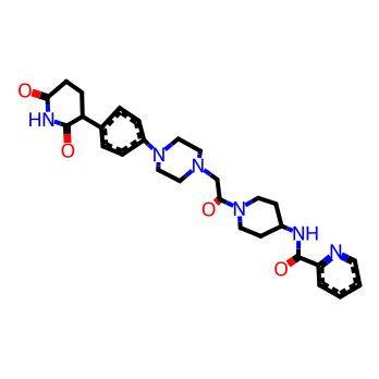 O=C1CCC(c2ccc(N3CCN(CC(=O)N4CCC(NC(=O)c5ccccn5)CC4)CC3)cc2)C(=O)N1